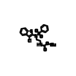 CC(C)(C)OC(=O)NCCN(c1sc2ccccc2c1Cl)S(=O)(=O)c1ccccc1